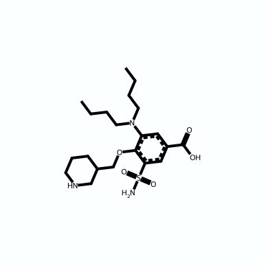 CCCCN(CCCC)c1cc(C(=O)O)cc(S(N)(=O)=O)c1OCC1CCCNC1